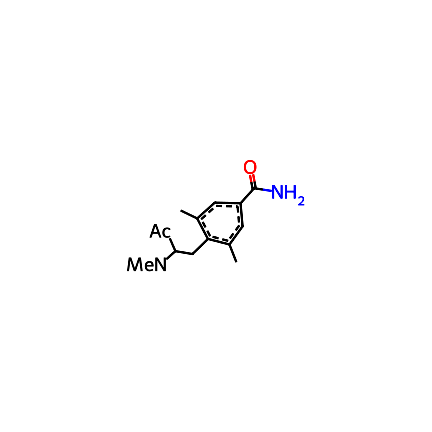 CNC(Cc1c(C)cc(C(N)=O)cc1C)C(C)=O